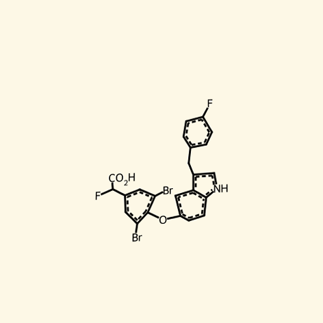 O=C(O)C(F)c1cc(Br)c(Oc2ccc3[nH]cc(Cc4ccc(F)cc4)c3c2)c(Br)c1